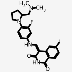 CN(C)CC1CCCN1c1ccc(NC=C2C(=O)NC(=O)c3ccc(I)cc32)cc1F